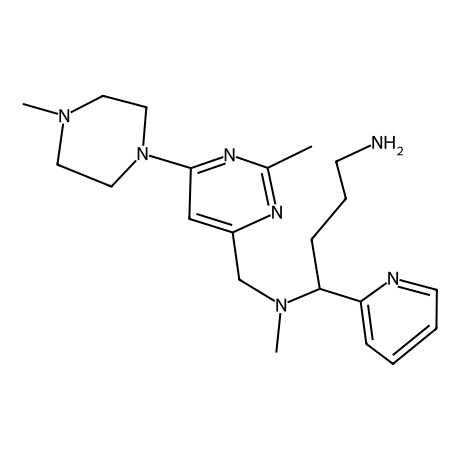 Cc1nc(CN(C)C(CCCN)c2ccccn2)cc(N2CCN(C)CC2)n1